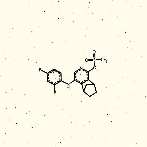 O=S(=O)(Oc1ncc(Nc2ccc(F)cc2F)c2c1C1CCC2C1)C(F)(F)F